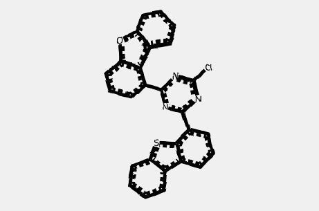 Clc1nc(-c2cccc3c2sc2ccccc23)nc(-c2cccc3oc4ccccc4c23)n1